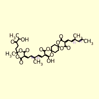 C/C=C/C(C)=C/C=C1C(=O)OC2(CCC3(CC2)OC(=O)C(/C=C/C(C)=C/C=C2C(=O)OC(C)(CCC(=O)C(C)O)OC2=O)=C(O)O3)OC1=O